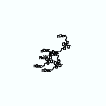 CCCCCCCCCCCCOP(=O)([O-])OCCCCCCCCCCCC.CCCCCCCCCCCCOP(=O)([O-])OCCCCCCCCCCCC.CCCCCCCCCCCCOP(=O)([O-])OCCCCCCCCCCCC.[Nd+3]